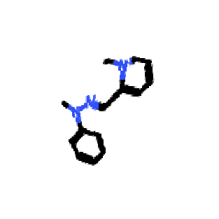 CN(N=Cc1cccc[n+]1C)c1ccccc1